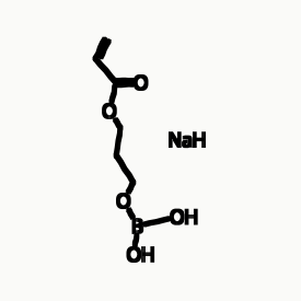 C=CC(=O)OCCCOB(O)O.[NaH]